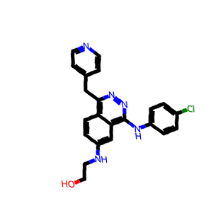 OCCNc1ccc2c(Cc3ccncc3)nnc(Nc3ccc(Cl)cc3)c2c1